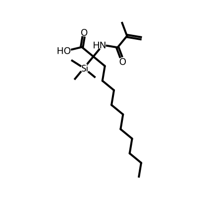 C=C(C)C(=O)NC(CCCCCCCCCC)(C(=O)O)[Si](C)(C)C